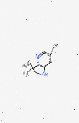 CC1(C)CNc2cc(C#N)cnc21